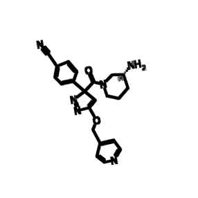 N#Cc1ccc(C2(C(=O)N3CCC[C@@H](N)C3)C=C(OCc3ccncc3)N=N2)cc1